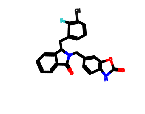 N#Cc1cccc(CC2c3ccccc3C(=O)N2Cc2ccc3[nH]c(=O)oc3c2)c1F